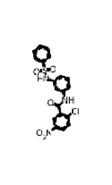 O=C(Nc1cccc(NS(=O)(=O)c2ccccc2)c1)c1cc([N+](=O)[O-])ccc1Cl